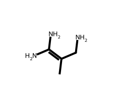 CC(CN)=C(N)N